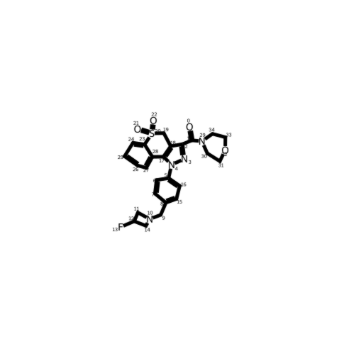 O=C(c1nn(-c2ccc(CN3CC(F)C3)cc2)c2c1CS(=O)(=O)c1ccccc1-2)N1CCOCC1